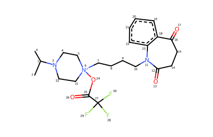 CC(C)N1CC[N+](CCCCN2C(=O)CCC(=O)c3ccccc32)(OC(=O)C(F)(F)F)CC1